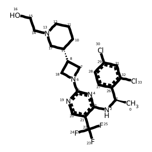 C[C@@H](Nc1nc(N2CC([C@H]3CCCN(CCO)C3)C2)ncc1C(F)(F)F)c1ccc(Cl)cc1Cl